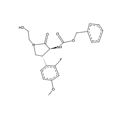 COc1ccc([C@@H]2CN(CCO)C(=O)[C@H]2NC(=O)OCc2ccccc2)c(F)c1